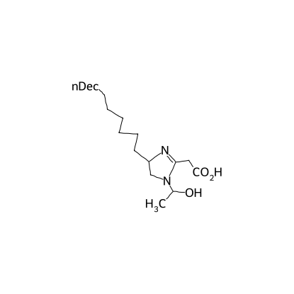 CCCCCCCCCCCCCCCCC1CN(C(C)O)C(CC(=O)O)=N1